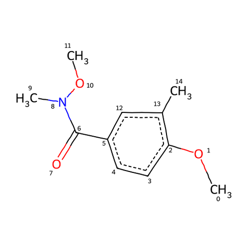 COc1ccc(C(=O)N(C)OC)cc1C